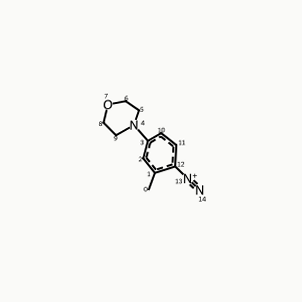 Cc1cc(N2CCOCC2)ccc1[N+]#N